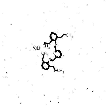 CCCc1cccc(CCC)c1N=Cc1cccc(C=Nc2c(CCC)cccc2CCC)n1.[Cl-].[Cl-].[V+2]